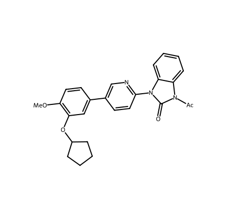 COc1ccc(-c2ccc(-n3c(=O)n(C(C)=O)c4ccccc43)nc2)cc1OC1CCCC1